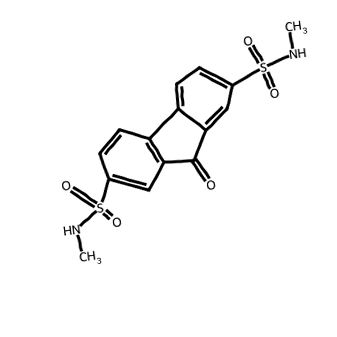 CNS(=O)(=O)c1ccc2c(c1)C(=O)c1cc(S(=O)(=O)NC)ccc1-2